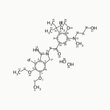 CCOc1cc2c(c(F)c1OCC)C(=N)N(CC(=O)c1cc(N(C)CCCO)c(OC)c(C(C)(C)C)c1)C2.Cl.Cl